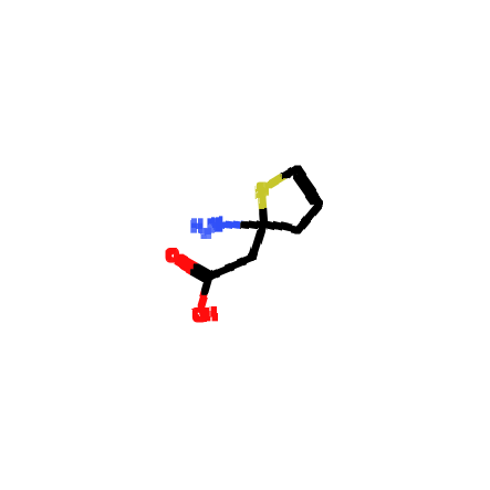 NC1(CC(=O)O)CC=CS1